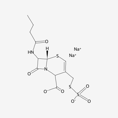 CCCC(=O)NC1C(=O)N2C(C(=O)[O-])C(CSS(=O)(=O)[O-])=CS[C@@H]12.[Na+].[Na+]